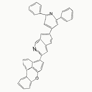 c1ccc(-c2cc(-c3ccc4cc(-c5ccc6c7c(cccc57)-c5ccccc5O6)ncc4c3)cc(-c3ccccc3)n2)cc1